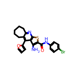 Nc1c(C(=O)Nc2ccc(Br)cc2)sc2nc3c(c(-c4ccco4)c12)CCCCC3